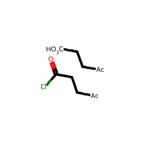 CC(=O)CCC(=O)Cl.CC(=O)CCC(=O)O